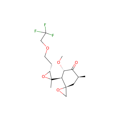 CO[C@@H]1C(=O)[C@@H](C)C[C@]2(CO2)[C@H]1C1(C)O[C@@H]1CCOCC(F)(F)F